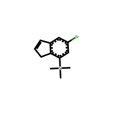 C[Si](C)(C)c1cc(Br)cc2c1CC=C2